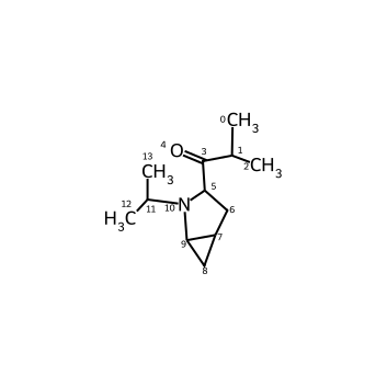 CC(C)C(=O)C1CC2CC2N1C(C)C